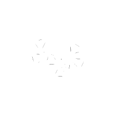 C=C1[n+]2ccccc2-c2ccccc2CCC2(C)c3nc4c(cc3-c3cccc[n+]3C12C)c1cccc2c3ccccc3n4c21